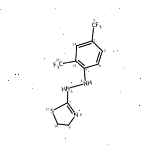 FC(F)(F)c1ccc(NNC2=NCCS2)c(C(F)(F)F)c1